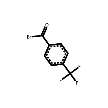 O=C(Br)c1ccc(C(F)(F)F)cc1